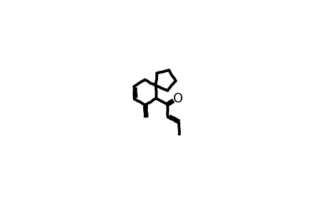 C=C1C=CCC2(CCCC2)C1C(=O)C=CC